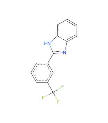 FC(F)(F)c1cccc(C2=NC3=CC=CCC3N2)c1